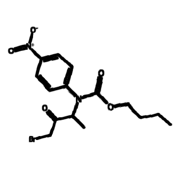 CCCCOC(=O)N(c1ccc([N+](=O)[O-])cc1)C(C)C(=O)CBr